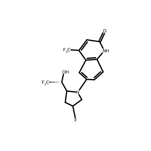 O=c1cc(C(F)(F)F)c2cc(N3CC(F)CC3[C@@H](O)C(F)(F)F)ccc2[nH]1